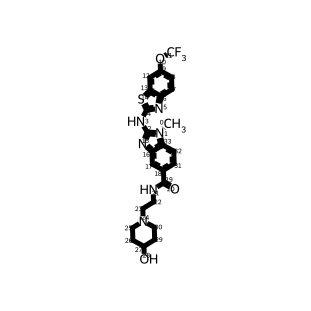 Cn1c(Nc2nc3ccc(OC(F)(F)F)cc3s2)nc2cc(C(=O)NCCN3CCC(O)CC3)ccc21